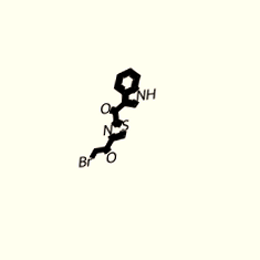 O=C(CBr)c1csc(C(=O)c2c[nH]c3ccccc23)n1